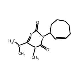 CN(C)c1nc(=O)n(C2C=CCCCCC2)c(=O)n1C